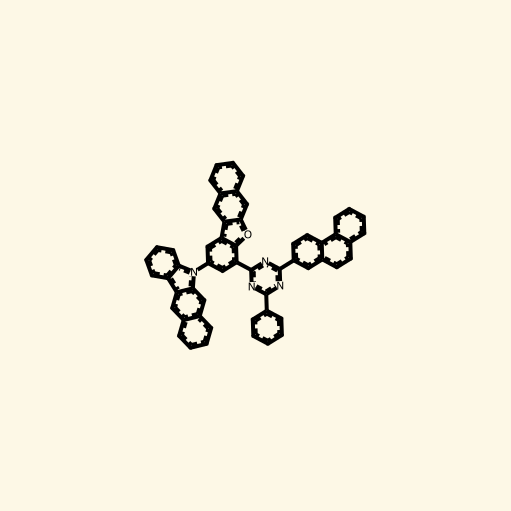 c1ccc(-c2nc(-c3ccc4c(ccc5ccccc54)c3)nc(-c3cc(-n4c5ccccc5c5cc6ccccc6cc54)cc4c3oc3cc5ccccc5cc34)n2)cc1